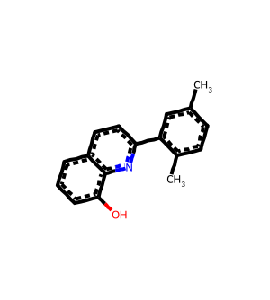 Cc1ccc(C)c(-c2ccc3cccc(O)c3n2)c1